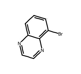 Brc1[c]ccc2nccnc12